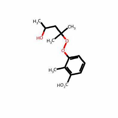 Cc1c(OOC(C)(C)CC(C)O)cccc1C(=O)O